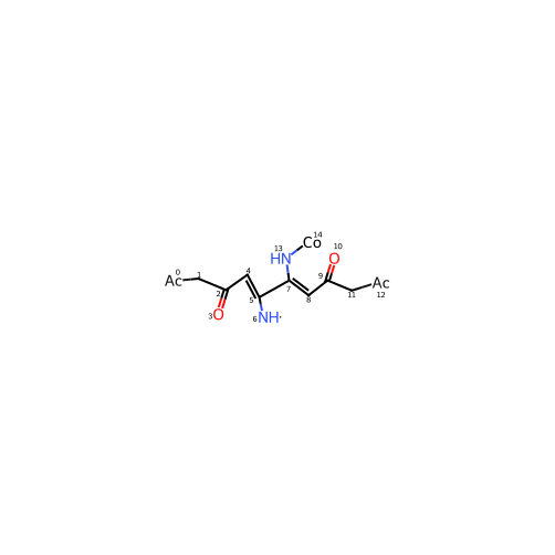 CC(=O)CC(=O)C=C([NH])C(=CC(=O)CC(C)=O)[NH][Co]